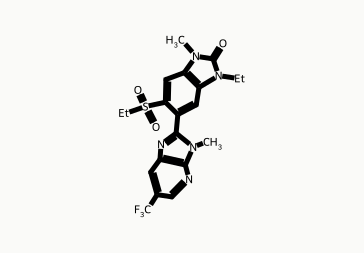 CCn1c(=O)n(C)c2cc(S(=O)(=O)CC)c(-c3nc4cc(C(F)(F)F)cnc4n3C)cc21